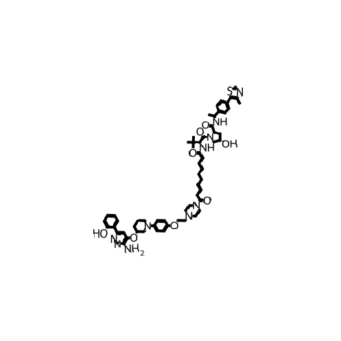 Cc1ncsc1-c1ccc(C(C)NC(=O)C2CC(O)CN2C(=O)C(NC(=O)CCCCCCCCC(=O)N2CCN(CCOc3ccc(N4CCCC(Oc5cc(-c6ccccc6O)nnc5N)C4)cc3)CC2)C(C)(C)C)cc1